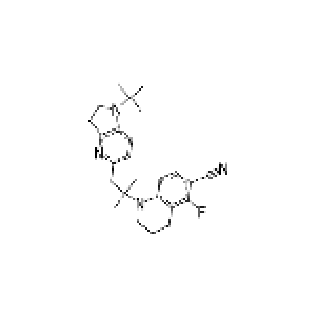 CC(C)(C)N1CCc2nc(CC(C)(C)N3CCCc4c3ccc(C#N)c4F)ccc21